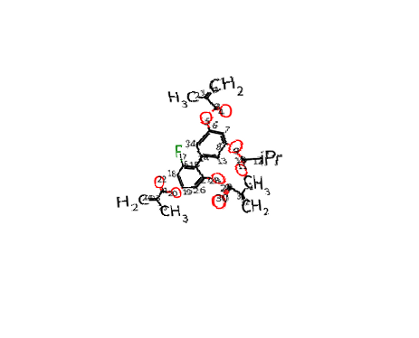 C=C(C)C(=O)Oc1cc(OC(=O)C(C)C)cc(-c2c(F)cc(OC(=O)C(=C)C)cc2OC(=O)C(=C)C)c1